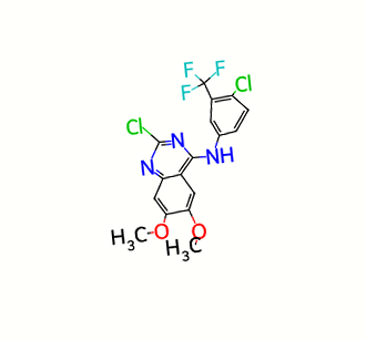 COc1cc2nc(Cl)nc(Nc3ccc(Cl)c(C(F)(F)F)c3)c2cc1OC